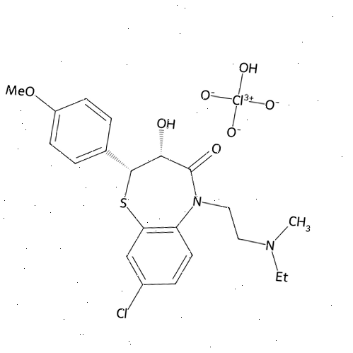 CCN(C)CCN1C(=O)[C@@H](O)[C@@H](c2ccc(OC)cc2)Sc2cc(Cl)ccc21.[O-][Cl+3]([O-])([O-])O